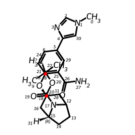 Cn1cnc(-c2ccc(O[C@H]3CC4CC[C@H](C3)N4C(=O)OC(C)(C)C)c(C(N)=O)c2)c1